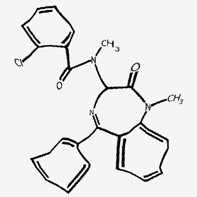 CN1C(=O)C(N(C)C(=O)c2ccccc2Cl)N=C(c2ccccc2)c2ccccc21